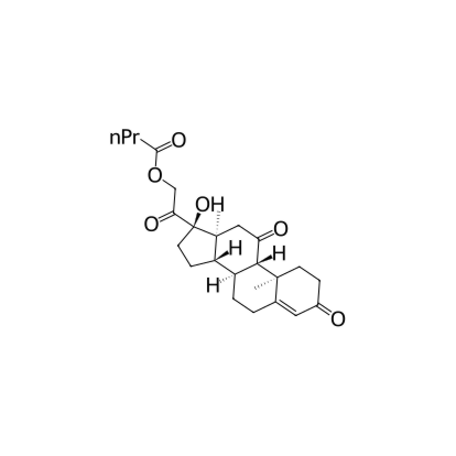 CCCC(=O)OCC(=O)[C@@]1(O)CC[C@H]2[C@@H]3CCC4=CC(=O)CC[C@]4(C)[C@H]3C(=O)C[C@@]21C